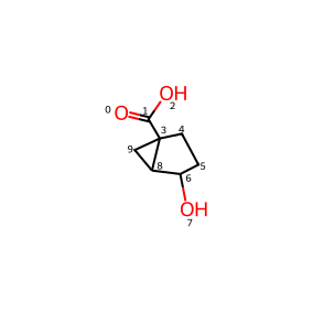 O=C(O)C12CCC(O)C1C2